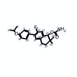 CC(C)Oc1ccc(-c2cc3c(cc2F)C(OC(N)=O)C(C)(C)CC3)cc1